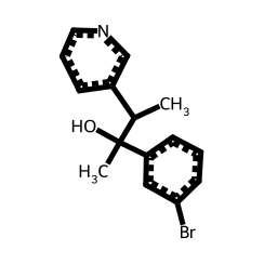 CC(c1cccnc1)C(C)(O)c1cccc(Br)c1